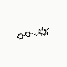 Cc1nnc(SCc2ccc(-c3ccccc3)cc2)nn1